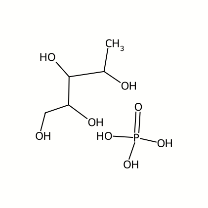 CC(O)C(O)C(O)CO.O=P(O)(O)O